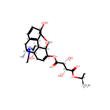 C[C@H](OC(=O)[C@H](O)[C@@H](O)C(=O)OC1=CC[C@@]2(O)[C@H]3Cc4ccc(O)c5c4[C@@]2(CCN3C)[C@H]1O5)C(=O)O